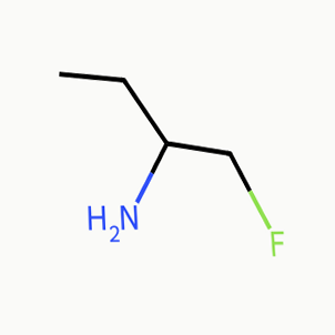 CCC(N)CF